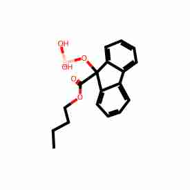 CCCCOC(=O)C1(OB(O)O)c2ccccc2-c2ccccc21